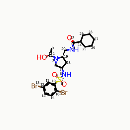 CB(O)N1C[C@H](NS(=O)(=O)c2cc(Br)ccc2Br)C[C@@H]1CNC(=O)C1CCCCC1